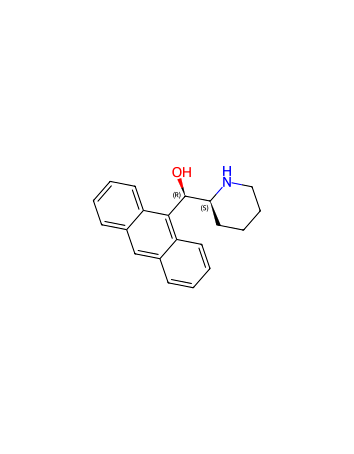 O[C@H](c1c2ccccc2cc2ccccc12)[C@@H]1CCCCN1